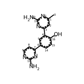 Cc1cc(-c2cc(-c3ccnc(N)n3)ccc2O)nc(N)n1